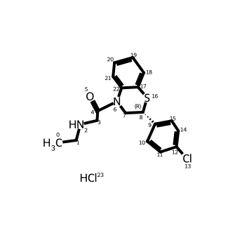 CCNCC(=O)N1C[C@@H](c2ccc(Cl)cc2)Sc2ccccc21.Cl